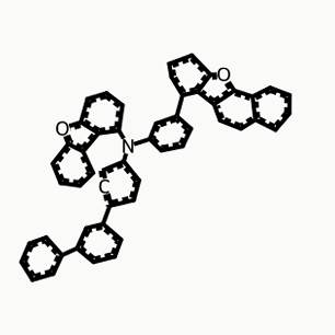 c1ccc(-c2cccc(-c3ccc(N(c4cccc(-c5cccc6oc7c8ccccc8ccc7c56)c4)c4cccc5oc6ccccc6c45)cc3)c2)cc1